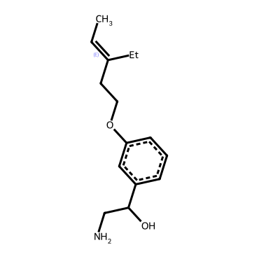 C/C=C(\CC)CCOc1cccc(C(O)CN)c1